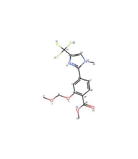 COCOc1cc(-c2nc(C(F)(F)F)cn2C)ccc1C(=O)OC